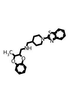 CC1Oc2ccccc2OC1CNCC1CCN(c2nc3ccccc3s2)CC1